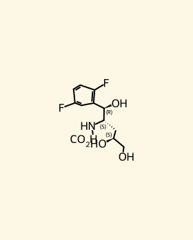 O=C(O)N[C@@H](C[C@H](O)CO)[C@H](O)c1cc(F)ccc1F